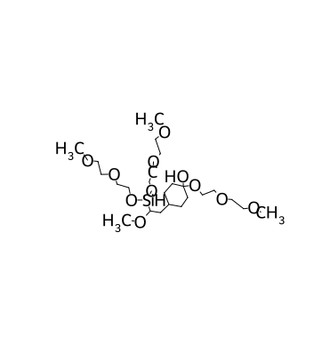 COCCOCCO[SiH](OCCOCCOC)C(CC1CCC(O)(OCCOCCOC)CC1)OC